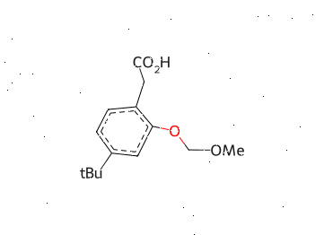 COCOc1cc(C(C)(C)C)ccc1CC(=O)O